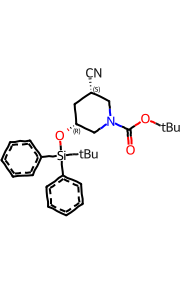 CC(C)(C)OC(=O)N1C[C@@H](C#N)C[C@@H](O[Si](c2ccccc2)(c2ccccc2)C(C)(C)C)C1